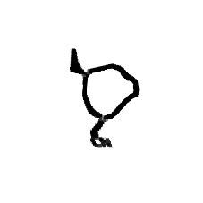 CN1CCCB(C#N)C1